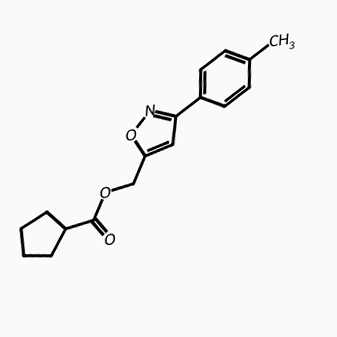 Cc1ccc(-c2cc(COC(=O)C3CCCC3)on2)cc1